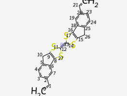 C=Cc1ccc2c(c1)C1=C(C2)S/C(=C2/SC3=C(S2)c2cc(C=C)ccc2C3)S1